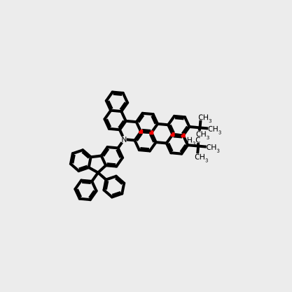 CC(C)(C)c1ccc(-c2ccc(-c3c(N(c4ccc(-c5ccc(C(C)(C)C)cc5)cc4)c4ccc5c(c4)-c4ccccc4C5(c4ccccc4)c4ccccc4)ccc4ccccc34)cc2)cc1